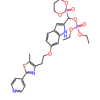 CCOP(=O)(OCC)OC(c1cc2ccc(OCCc3nc(-c4ccncc4)sc3C)cc2[nH]1)P1(=O)OCCCO1